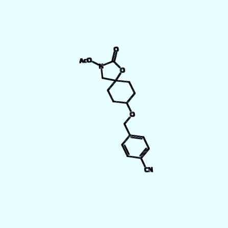 CC(=O)ON1CC2(CCC(OCc3ccc(C#N)cc3)CC2)OC1=O